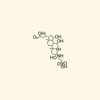 C[C@H](C[C@H](O)C=O)[C@H]1C[C@H](O)C2C3C(CC[C@@]21C)[C@@]1(C)CC[C@](O)(NCCS(=O)(=O)O)C[C@H]1C[C@@H]3O